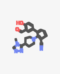 Cn1cnnc1C1CCN(c2c(C#N)cccc2-c2ccc(O)c(C=O)c2)CC1